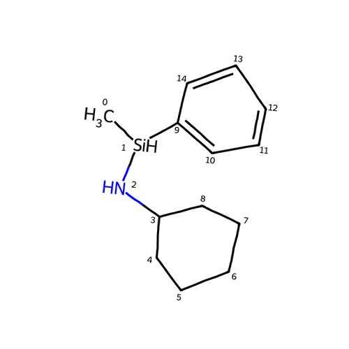 C[SiH](NC1CCCCC1)c1ccccc1